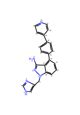 Nc1nn(Cc2c[nH]cn2)c2cccc(-c3ccc(-c4ccncc4)cc3)c12